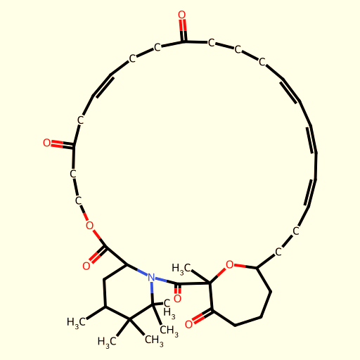 CC1CC2C(=O)OCCC(=O)CC=CCCC(=O)CCCC=CC=CC=CCCC3CCCC(=O)C(C)(O3)C(=O)N2C(C)(C)C1(C)C